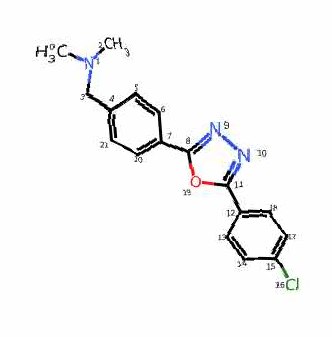 CN(C)Cc1ccc(-c2nnc(-c3ccc(Cl)cc3)o2)cc1